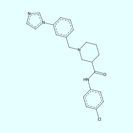 O=C(Nc1ccc(Cl)cc1)C1CCCN(Cc2cccc(-n3ccnc3)c2)C1